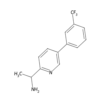 CC(N)c1ccc(-c2cccc(C(F)(F)F)c2)cn1